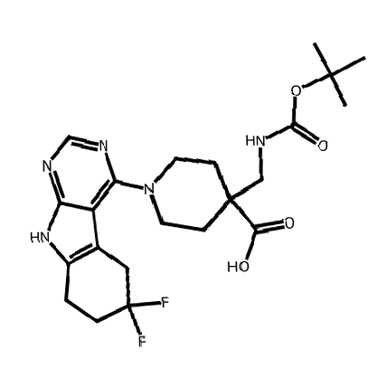 CC(C)(C)OC(=O)NCC1(C(=O)O)CCN(c2ncnc3[nH]c4c(c23)CC(F)(F)CC4)CC1